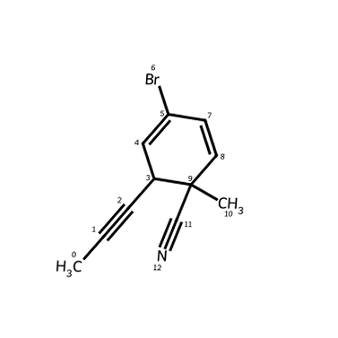 CC#CC1C=C(Br)C=CC1(C)C#N